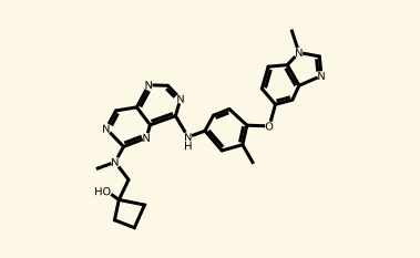 Cc1cc(Nc2ncnc3cnc(N(C)CC4(O)CCC4)nc23)ccc1Oc1ccc2c(c1)ncn2C